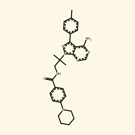 Cc1ccc(-c2nn(C(C)(C)CNC(=O)c3ccc(N4CCCCC4)cc3)c3ncnc(N)c23)cc1